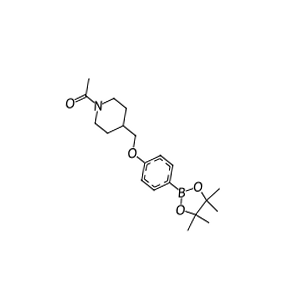 CC(=O)N1CCC(COc2ccc(B3OC(C)(C)C(C)(C)O3)cc2)CC1